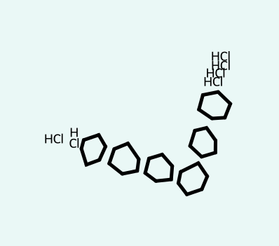 C1CCCCC1.C1CCCCC1.C1CCCCC1.C1CCCCC1.C1CCCCC1.C1CCCCC1.Cl.Cl.Cl.Cl.Cl.Cl